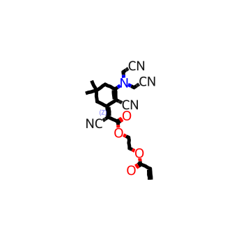 C=CC(=O)OCCOC(=O)/C(C#N)=C1/CC(C)(C)CC(N(CC#N)CC#N)=C1C#N